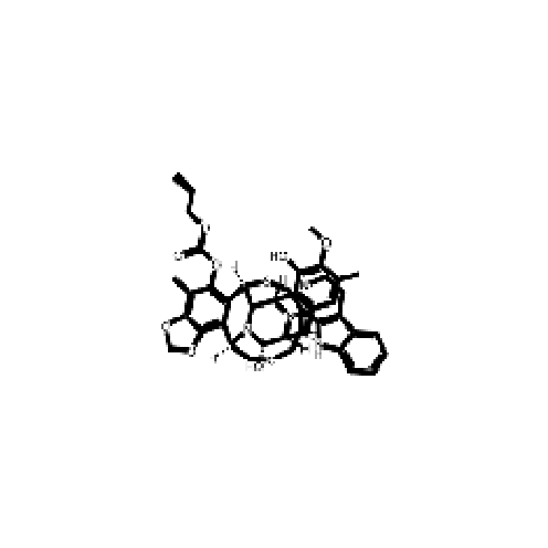 C=CCOC(=O)Oc1c(C)c2c(c3c1[C@H]1SC[C@]4(NCCc5c4[nH]c4ccccc54)C(=O)COC[C@@H]3N3C1[C@@H]1c4c(cc(C)c(OC)c4O)C[C@H]([C@@H]3O)N1C)OCO2